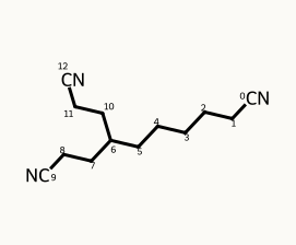 N#CCCCCCC(CCC#N)CCC#N